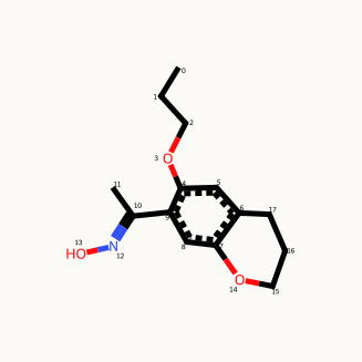 CCCOc1cc2c(cc1C(C)=NO)OCCC2